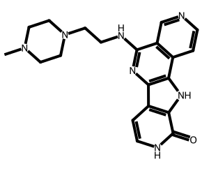 CN1CCN(CCNc2nc3c4cc[nH]c(=O)c4[nH]c3c3ccncc23)CC1